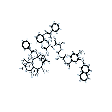 CC(=O)O[C@H]1C(=O)[C@@]2(C)[C@H]([C@H](OC(=O)c3ccccc3)[C@]3(O)C[C@H](OC(=O)[C@H](OC(=O)N(C)CCN(C)C(=O)OC(C)c4ccc([N+](=O)[O-])c(Oc5ccc6ncccc6c5)c4)[C@@H](NC(=O)c4ccccc4)c4ccccc4)C(C)=C1C3(C)C)[C@]1(OC(C)=O)CO[C@@H]1C[C@@H]2O